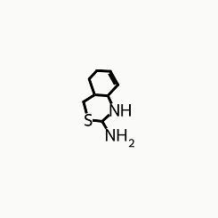 NC1NC2C=CCCC2CS1